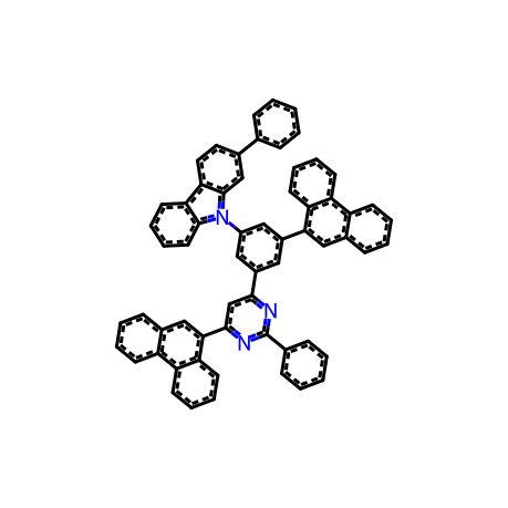 c1ccc(-c2ccc3c4ccccc4n(-c4cc(-c5cc(-c6cc7ccccc7c7ccccc67)nc(-c6ccccc6)n5)cc(-c5cc6ccccc6c6ccccc56)c4)c3c2)cc1